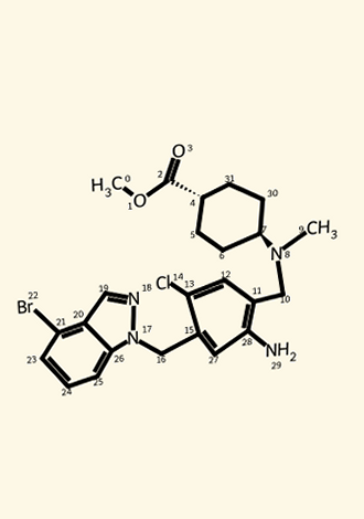 COC(=O)[C@H]1CC[C@H](N(C)Cc2cc(Cl)c(Cn3ncc4c(Br)cccc43)cc2N)CC1